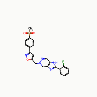 CS(=O)(=O)c1ccc(-c2cc(CN3Cc4nc(-c5ccccc5F)[nH]c4C=N3)on2)cc1